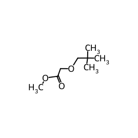 COC(=O)COCC(C)(C)C